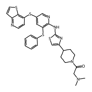 CN(C)CC(=O)N1CCC(c2csc(Nc3ncc(Sc4ccnc5ccsc45)cc3Sc3ccccc3)n2)CC1